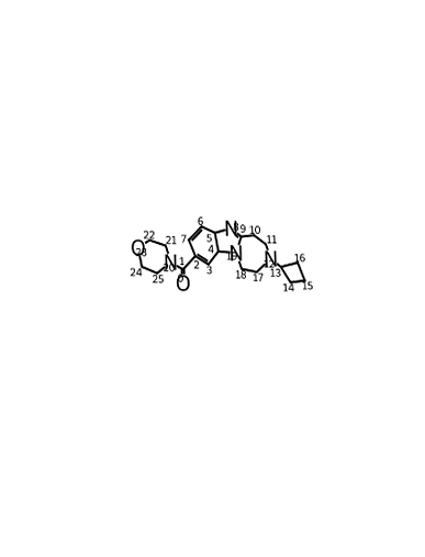 O=C(C1=CC2C(C=C1)N=C1CCN(C3CCC3)CCN12)N1CCOCC1